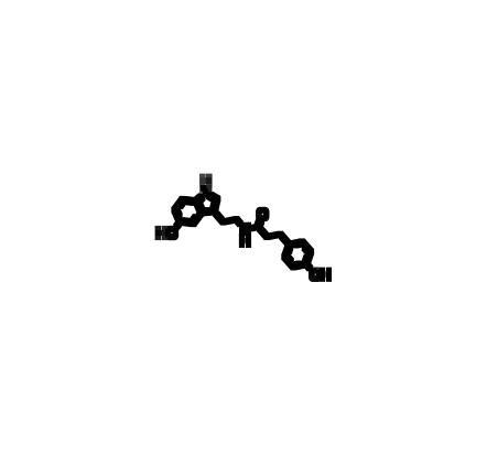 O=C(CCc1ccc(O)cc1)NCCc1c[nH]c2ccc(O)cc12